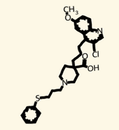 COc1ccc2ncc(Cl)c(CCCC3(C(=O)O)CCN(CCCSc4ccccc4)CC3)c2c1